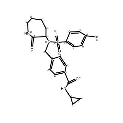 O=C(NC1CC1)c1ccc(CN(C2CCCCNC2=O)S(=O)(=O)c2ccc(Br)cc2)cc1